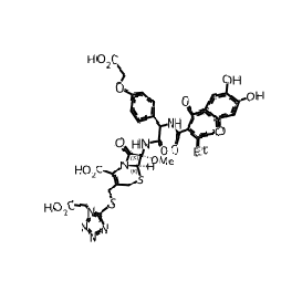 CCc1oc2cc(O)c(O)cc2c(=O)c1C(=O)NC(C(=O)N[C@]1(OC)C(=O)N2C(C(=O)O)=C(CSc3nnnn3CC(=O)O)CS[C@@H]21)c1ccc(OCC(=O)O)cc1